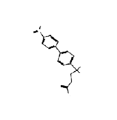 CC(O)(CCC(=O)O)c1ccc(-c2ccc([N+](=O)[O-])cc2)cc1